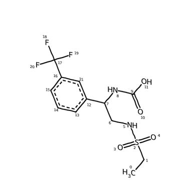 CCS(=O)(=O)NCC(NC(=O)O)c1cccc(C(F)(F)F)c1